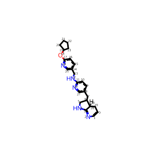 C1=CN=C2NCC(Cc3ccc(NCc4ccc(OC5CCCC5)nc4)nc3)[C@@H]2C1